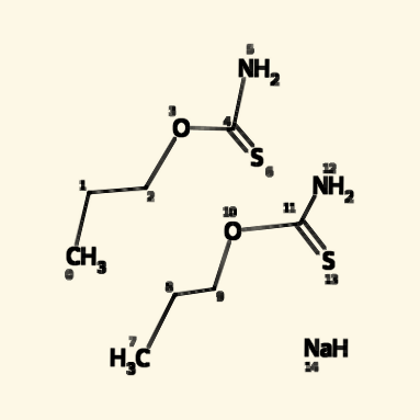 CCCOC(N)=S.CCCOC(N)=S.[NaH]